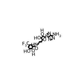 Nc1ncnc2c1ncn2C1OC(/C=C/CNC(=O)c2cc(C(F)(F)F)cc(O)c2O)C(O)C1O